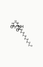 CCCCCCCCCCCC(=O)NC1=CC(=O)CCC1